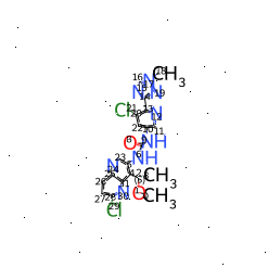 CO[C@@H](C)c1c(NC(=O)Nc2cnc(-c3ncn(C)n3)c(Cl)c2)cnc2ccc(Cl)nc12